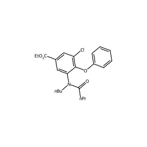 CCCCN(C(=O)CCC)c1cc(C(=O)OCC)cc(Cl)c1Oc1ccccc1